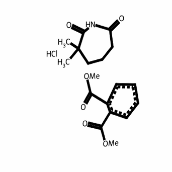 CC1(C)CCCC(=O)NC1=O.COC(=O)c1ccccc1C(=O)OC.Cl